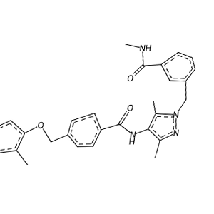 CNC(=O)c1cccc(Cn2nc(C)c(NC(=O)c3ccc(COc4ccccc4C)cc3)c2C)c1